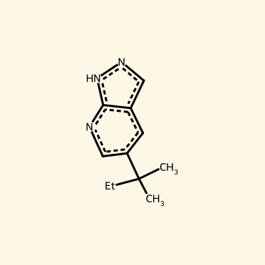 CCC(C)(C)c1cnc2[nH]ncc2c1